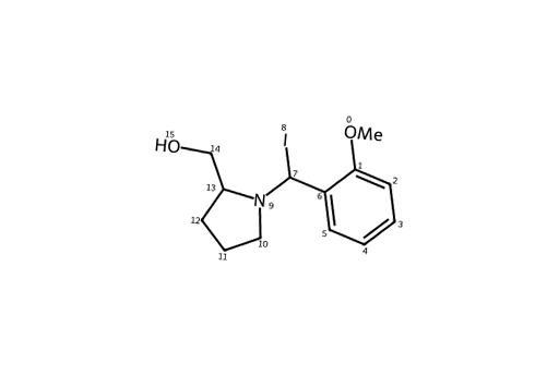 COc1ccccc1C(I)N1CCCC1CO